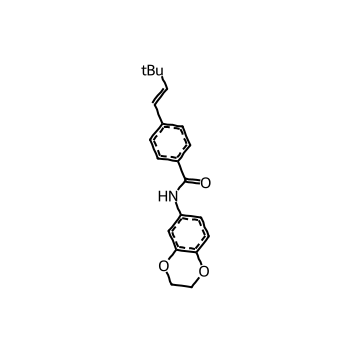 CC(C)(C)C=Cc1ccc(C(=O)Nc2ccc3c(c2)OCCO3)cc1